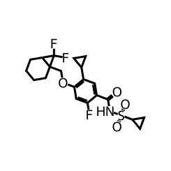 O=C(NS(=O)(=O)C1CC1)c1cc(C2CC2)c(OCC23CCCCC2C3(F)F)cc1F